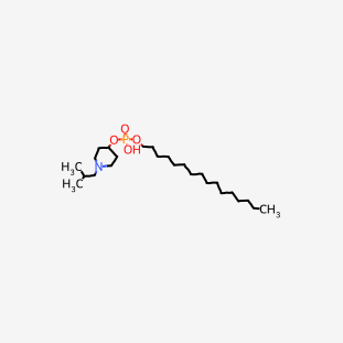 CCCCCCCCCCCCCCCCOP(=O)(O)OC1CCN(CC(C)C)CC1